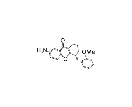 COc1ccccc1C=C1CCCc2c1oc1ccc(N)cc1c2=O